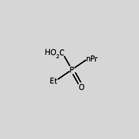 CCCP(=O)(CC)C(=O)O